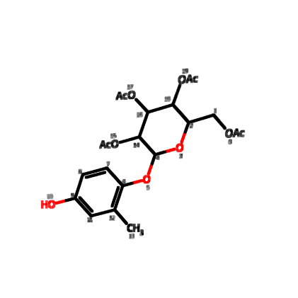 CC(=O)OCC1OC(Oc2ccc(O)cc2C)C(OC(C)=O)C(OC(C)=O)C1OC(C)=O